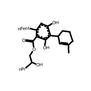 CCCCCc1cc(O)c(C2C=C(C)CCC2)c(O)c1C(=O)OCC(O)CCC